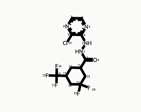 O=C(NNc1nccnc1Cl)C1CC(C(F)(F)F)CC(F)(F)C1